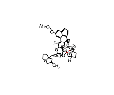 C=C1CN2CCCC2(COc2nc(N3C[C@H]4CC[C@@H](C3)N4C(=O)OC(C)(C)C)c3cc(Cl)c(-c4cc(OCOC)cc5cccc(C#C[Si](C(C)C)(C(C)C)C(C)C)c45)c(F)c3n2)C1